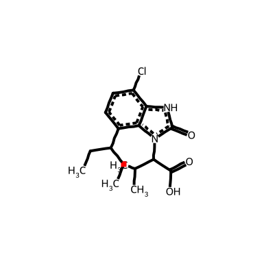 CCC(CC)c1ccc(Cl)c2[nH]c(=O)n(C(C(=O)O)C(C)C)c12